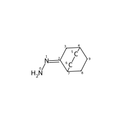 NN=C1CC2CCC1CC2